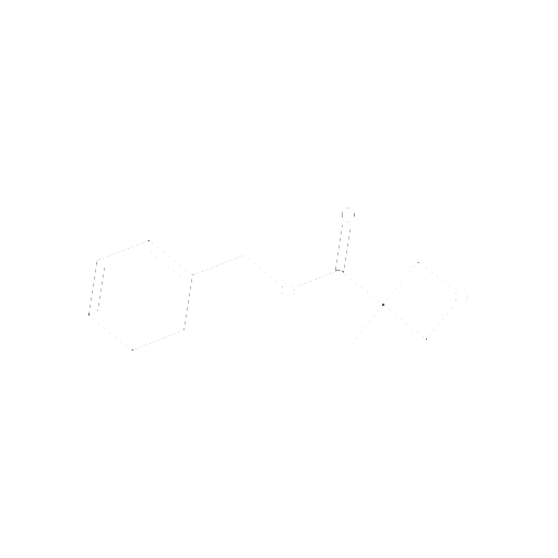 CC1(C(=O)OCC2=CC=CCC2)COC1